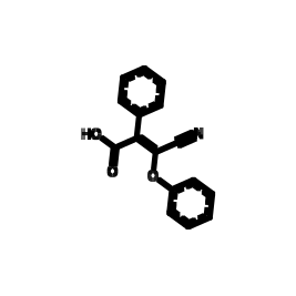 N#CC(Oc1ccccc1)=C(C(=O)O)c1ccccc1